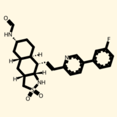 O=CN[C@@H]1CC[C@@H]2[C@@H](C1)C[C@H]1CS(=O)(=O)N[C@H]1[C@H]2/C=C/c1ccc(-c2cccc(F)c2)cn1